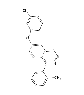 Cc1ccccc1-c1nncc2cc(Oc3cccc(Cl)c3)ccc12